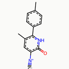 [C-]#[N+]c1cc(C)c(-c2ccc(C)cc2)[nH]c1=O